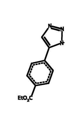 CCOC(=O)c1ccc(C2=CN=N[N]2)cc1